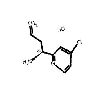 C=CC[C@H](N)c1cc(Cl)ccn1.Cl